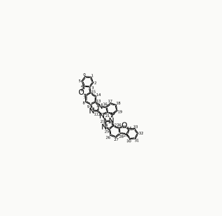 c1ccc2c(c1)oc1cc3nc4n(c3cc12)c1cccc2c1n4c1nc3ccc4c5ccccc5oc4c3n21